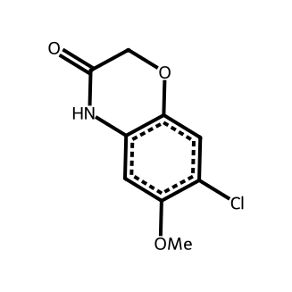 COc1cc2c(cc1Cl)OCC(=O)N2